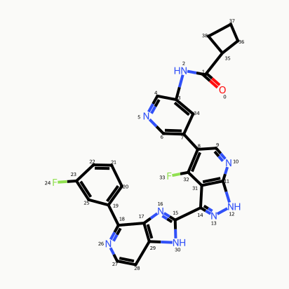 O=C(Nc1cncc(-c2cnc3[nH]nc(-c4nc5c(-c6cccc(F)c6)nccc5[nH]4)c3c2F)c1)C1CCC1